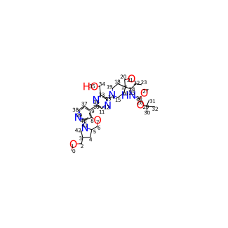 COCC1CC2COc3c(-c4cnc(N5CCC6(CC5)COC(C)C6NC(=O)OC(C)(C)C)c(CO)n4)ccnc3N2C1